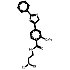 CCN(CC)CCNC(=O)c1ccc(C2=NC(c3ccccc3)=NC2)cc1OC